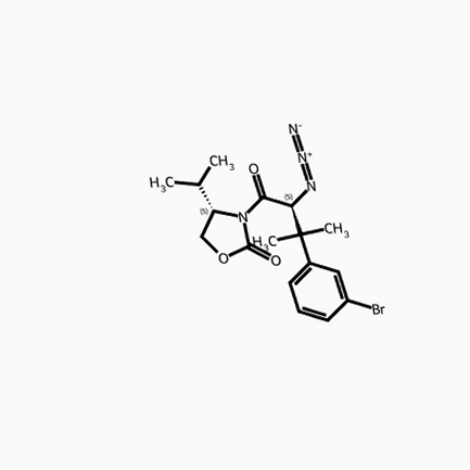 CC(C)[C@H]1COC(=O)N1C(=O)[C@@H](N=[N+]=[N-])C(C)(C)c1cccc(Br)c1